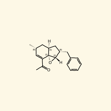 CC(=O)C1=C[C@H](C)C[C@H]2C[C@H](Cc3ccccc3)[C@@H]3O[C@]123